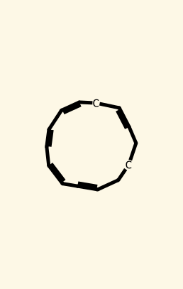 C1=CC=CCC=CCCCC=CC=C1